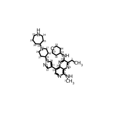 CCc1nc2c(NC)ncc(-c3cnn(C4CCN(C5CCCNCC5)CC4)c3)c2nc1NC1CCOCC1